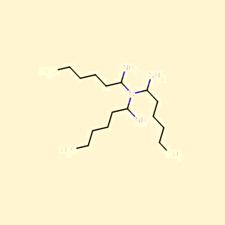 CCCCCC(N)N(C(N)CCCCC)C(N)CCCCC